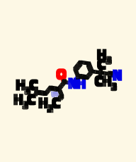 C=C/C(=C\C=C(C)C)C(=O)Nc1cccc(C(C)(C)C#N)c1